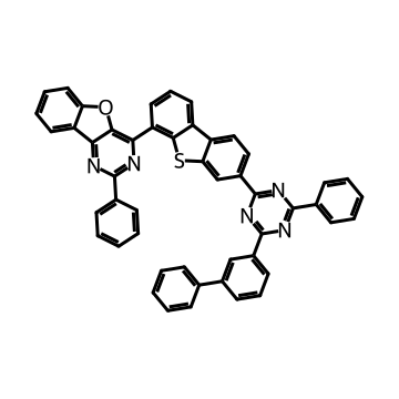 c1ccc(-c2cccc(-c3nc(-c4ccccc4)nc(-c4ccc5c(c4)sc4c(-c6nc(-c7ccccc7)nc7c6oc6ccccc67)cccc45)n3)c2)cc1